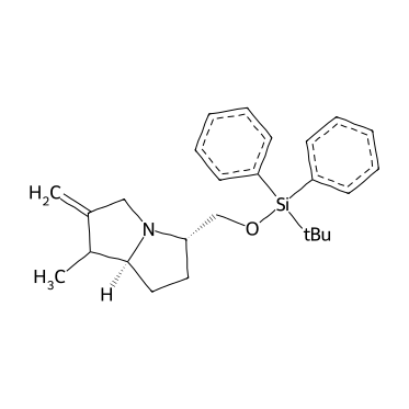 C=C1CN2[C@H](CO[Si](c3ccccc3)(c3ccccc3)C(C)(C)C)CC[C@H]2C1C